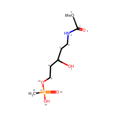 COC(=O)NCCC(O)CCOP(C)(=O)O